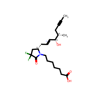 CC#CC[C@H](C)[C@H](O)/C=C/C[C@H]1CC(F)(F)C(=O)N1CCCCCCC(=O)O